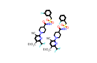 CCOC(=O)c1cc(C#N)c(N2CCC(C(=O)NS(=O)(=O)Cc3cccc(F)c3)CC2)nc1C(F)F.CCOC(=O)c1cc(C#N)c(N2CCC(C(=O)NS(=O)(=O)Cc3ccccc3F)CC2)nc1C(F)F